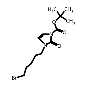 CC(C)(C)OC(=O)n1ccn(CCCCCBr)c1=O